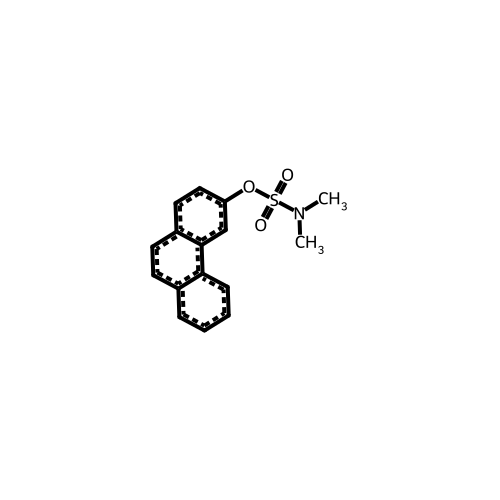 CN(C)S(=O)(=O)Oc1ccc2ccc3ccccc3c2c1